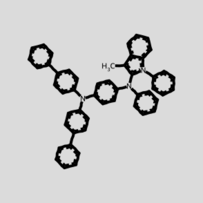 Cc1c(N(c2ccccc2)c2ccc(N(c3ccc(-c4ccccc4)cc3)c3ccc(-c4ccccc4)cc3)cc2)n(-c2ccccc2)c2ccccc12